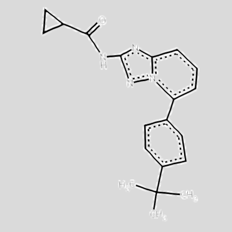 CC(C)(C)c1ccc(-c2cccc3nc(NC(=O)C4CC4)nn23)cc1